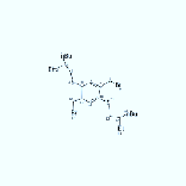 CCCCC(CC)CSc1cc(CBr)c(SCC(CC)CCCC)cc1CBr